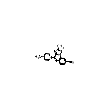 Cc1nc2c(N3CCN(C)CC3)nc3ccc(C#N)cc3n2n1